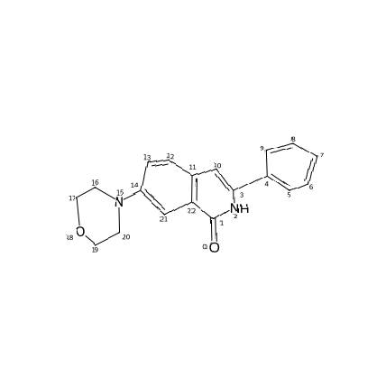 O=c1[nH]c(-c2ccccc2)cc2ccc(N3CCOCC3)cc12